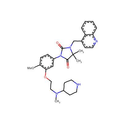 COc1ccc(N2C(=O)N(Cc3ccnc4ccccc34)C(C)(C)C2=O)cc1OCCN(C)C1CCNCC1